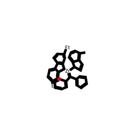 CCc1ccc2c(c1)[CH]([Zr](=[C](c1ccccc1)c1ccccc1)[CH]1C=Cc3c(C)cccc31)c1cc(CC)ccc1-2